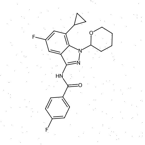 O=C(Nc1nn(C2CCCCO2)c2c(C3CC3)cc(F)cc12)c1ccc(F)cc1